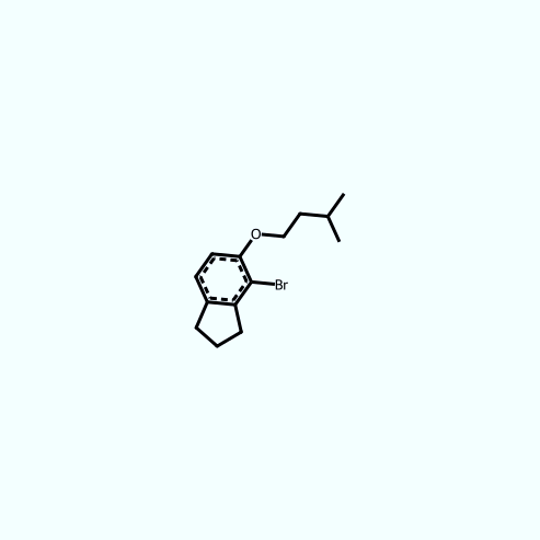 CC(C)CCOc1ccc2c(c1Br)CCC2